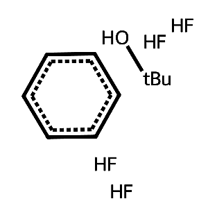 CC(C)(C)O.F.F.F.F.c1ccccc1